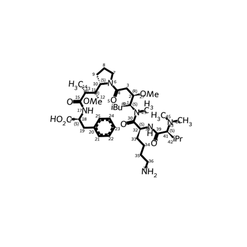 CC[C@H](C)[C@@H]([C@@H](CC(=O)N1CCC[C@H]1[C@H](OC)[C@@H](C)C(=O)N[C@@H](Cc1ccccc1)C(=O)O)OC)N(C)C(=O)[C@H](CCCCN)NC(=O)[C@H](C(C)C)N(C)C